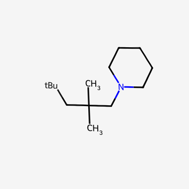 CC(C)(C)CC(C)(C)CN1CCCCC1